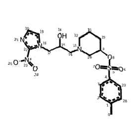 Cc1ccc(S(=O)(=O)OC2CCCN(CC(O)Cn3ccnc3[N+](=O)[O-])C2)cc1